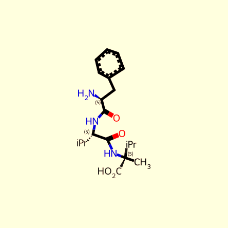 CC(C)[C@H](NC(=O)[C@@H](N)Cc1ccccc1)C(=O)N[C@](C)(C(=O)O)C(C)C